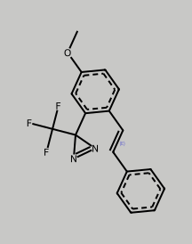 COc1ccc(/C=C/c2ccccc2)c(C2(C(F)(F)F)N=N2)c1